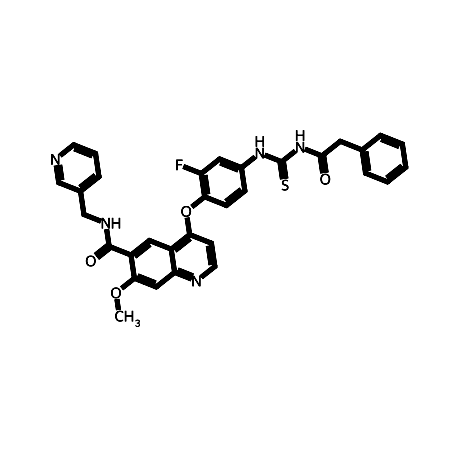 COc1cc2nccc(Oc3ccc(NC(=S)NC(=O)Cc4ccccc4)cc3F)c2cc1C(=O)NCc1cccnc1